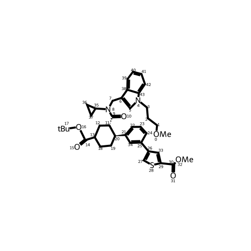 COCCCn1cc(CN(C(=O)[C@H]2CC(C(=O)OC(C)(C)C)CC[C@@H]2c2cccc(-c3csc(C(=O)OC)c3)c2)C2CC2)c2ccccc21